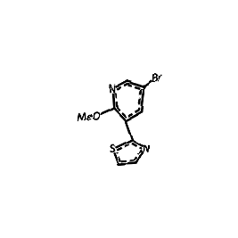 COc1ncc(Br)cc1-c1nccs1